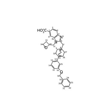 O=C(O)c1ccc2nc(CC34CCC(c5cccc(OCc6ccccc6)c5)(CC3)CC4)n(CC3CCO3)c2c1